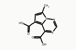 Cc1cc(C(=O)O)c2c(C(=O)O)ncnn12